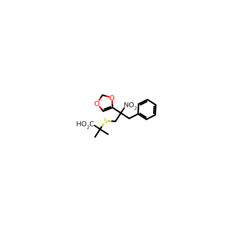 CC(C)(SCC(Cc1ccccc1)(C1=COCO1)[N+](=O)[O-])C(=O)O